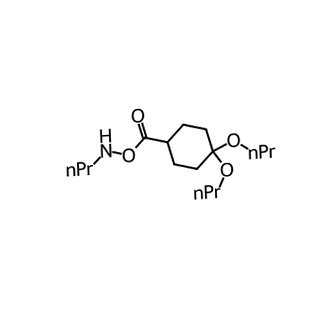 CCCNOC(=O)C1CCC(OCCC)(OCCC)CC1